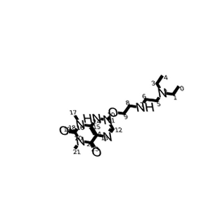 CCN(CC)CCNCCON1C=Nc2c(n(C)c(=O)n(C)c2=O)N1